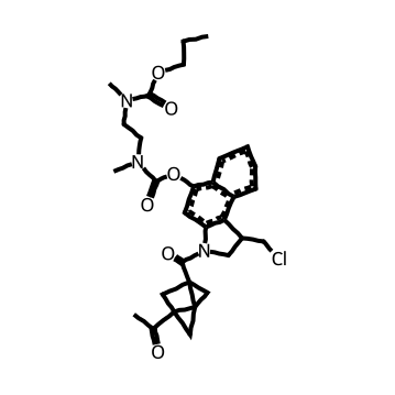 CCCOC(=O)N(C)CCN(C)C(=O)Oc1cc2c(c3ccccc13)C(CCl)CN2C(=O)C12CC3(C(C)=O)CC31C2